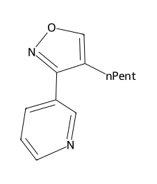 CCCCCc1conc1-c1cccnc1